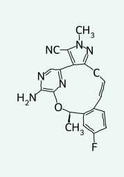 C[C@H]1Oc2nc(cnc2N)-c2c(nn(C)c2C#N)C/C=C\c2ccc(F)cc21